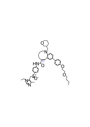 CCCCOCCOc1ccc(-c2ccc3c(c2)/C=C(/C(=O)Nc2ccc([S@+]([O-])Cc4c(C)ncn4CC)cc2)CCCCN3CC2CCCOC2)cc1